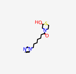 O=C(CCCCCCn1c[c]nc1)N1CCSC(O)C1